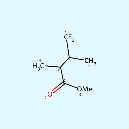 COC(=O)C(C)C(C)C(F)(F)F